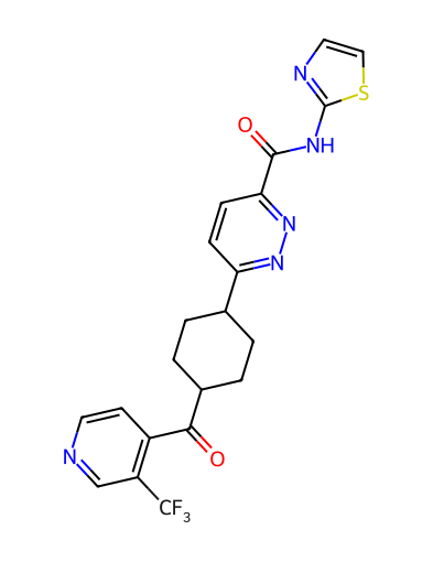 O=C(Nc1nccs1)c1ccc(C2CCC(C(=O)c3ccncc3C(F)(F)F)CC2)nn1